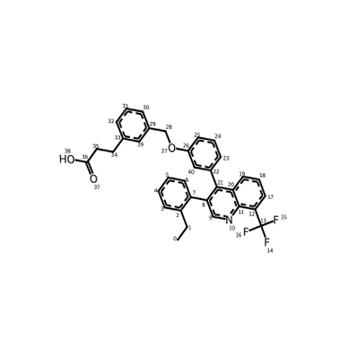 CCc1ccccc1-c1cnc2c(C(F)(F)F)cccc2c1-c1cccc(OCc2cccc(CCC(=O)O)c2)c1